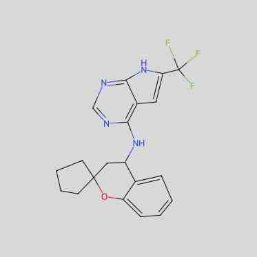 FC(F)(F)c1cc2c(NC3CC4(CCCC4)Oc4ccccc43)ncnc2[nH]1